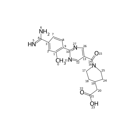 Cc1cc(C(=N)N)ccc1-c1ncc(C(=O)N2CCC(CC(=O)O)CC2)cn1